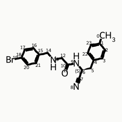 Cc1ccc(C[C@@H](C#N)NC(=O)CNCc2ccc(Br)cc2)cc1